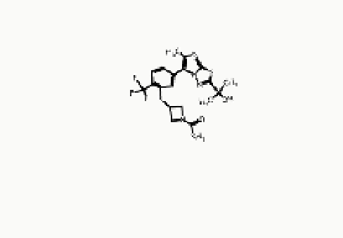 Cc1nc2sc(C(C)(C)O)nn2c1-c1ccc(C(F)(F)F)c(SC2CN(C(N)=O)C2)c1